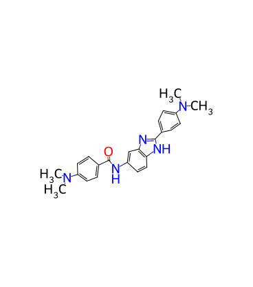 CN(C)c1ccc(C(=O)Nc2ccc3[nH]c(-c4ccc(N(C)C)cc4)nc3c2)cc1